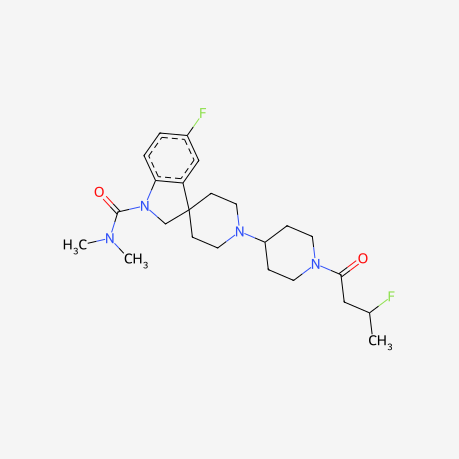 CC(F)CC(=O)N1CCC(N2CCC3(CC2)CN(C(=O)N(C)C)c2ccc(F)cc23)CC1